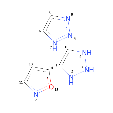 C1=CNNN1.c1c[nH]nn1.c1cnoc1